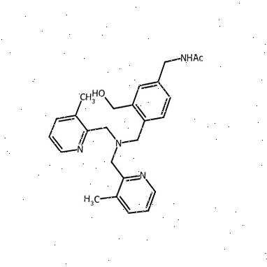 CC(=O)NCc1ccc(CN(Cc2ncccc2C)Cc2ncccc2C)c(CO)c1